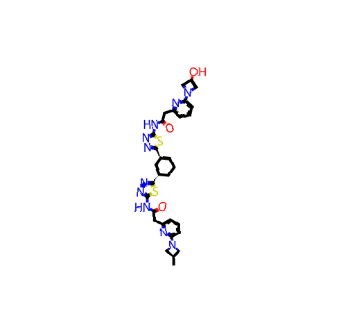 CC1CN(c2cccc(CC(=O)Nc3nnc([C@H]4CCC[C@H](c5nnc(NC(=O)Cc6cccc(N7CC(O)C7)n6)s5)C4)s3)n2)C1